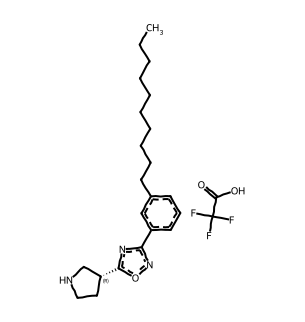 CCCCCCCCCCc1cccc(-c2noc([C@@H]3CCNC3)n2)c1.O=C(O)C(F)(F)F